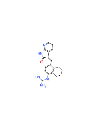 N=C(N)Nc1ccc(C=C2C(=O)Nc3ncccc32)c2c1CCCC2